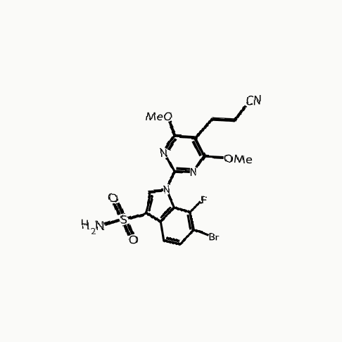 COc1nc(-n2cc(S(N)(=O)=O)c3ccc(Br)c(F)c32)nc(OC)c1CCC#N